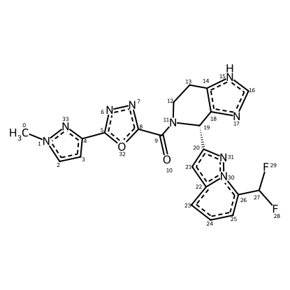 Cn1ccc(-c2nnc(C(=O)N3CCc4[nH]cnc4[C@@H]3c3cc4cccc(C(F)F)n4n3)o2)n1